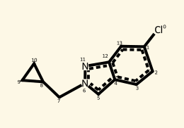 Clc1ccc2cn(CC3CC3)nc2c1